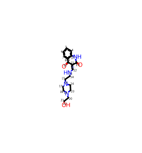 O=C1Nc2ccccc2C(=O)/C1=C\NCCN1CCN(CCO)CC1